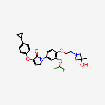 CC1(O)CN(CCOc2ccc(N3CC=C(Oc4ccc(C5CC5)cc4)C3=O)cc2OC(F)F)C1